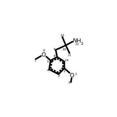 COc1ccc(OC)c(CC(C)(C)N)c1